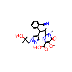 COc1c(C(=O)O)nc(C(C)C(c2cnn(CC(C)(C)O)c2)c2ccccc2C#N)n(C)c1=O